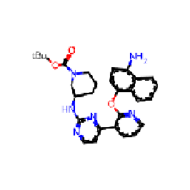 CC(C)(C)OC(=O)N1CCC[C@@H](Nc2nccc(-c3cccnc3Oc3ccc(N)c4ccccc34)n2)C1